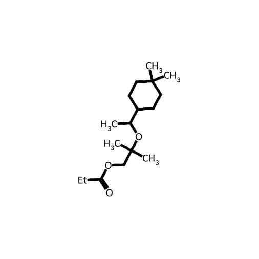 CCC(=O)OCC(C)(C)OC(C)C1CCC(C)(C)CC1